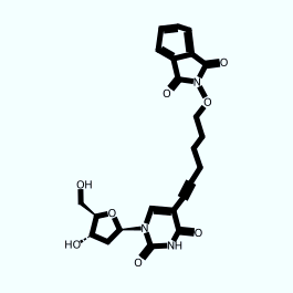 O=C1c2ccccc2C(=O)N1OCCCCC#Cc1cn([C@H]2C[C@H](O)[C@@H](CO)O2)c(=O)[nH]c1=O